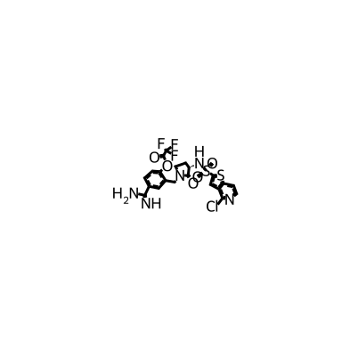 N=C(N)c1ccc(OC(=O)C(F)(F)F)c(CN2CC[C@H](NS(=O)(=O)c3cc4c(Cl)nccc4s3)C2=O)c1